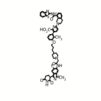 Cc1c(OCCCC2CCN(CC(=O)Nc3cc4c(cc3F)c(C3CCC(=O)NC3=O)nn4C)CC2)cccc1-c1ccc(N2CCc3cccc(C(=O)Nc4nc5ccccc5s4)c3C2)nc1C(=O)O